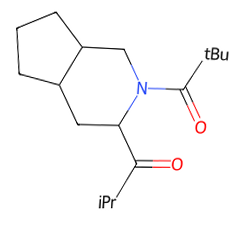 CC(C)C(=O)C1CC2CCCC2CN1C(=O)C(C)(C)C